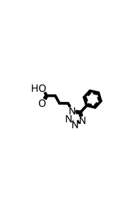 O=C(O)CCCn1nnnc1-c1ccccc1